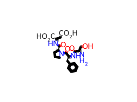 N[C@@H](CO)C(=O)N[C@@H](Cc1ccccc1)C(=O)N1CCC[C@H]1C(=O)N[C@@H](CC(=O)O)C(=O)O